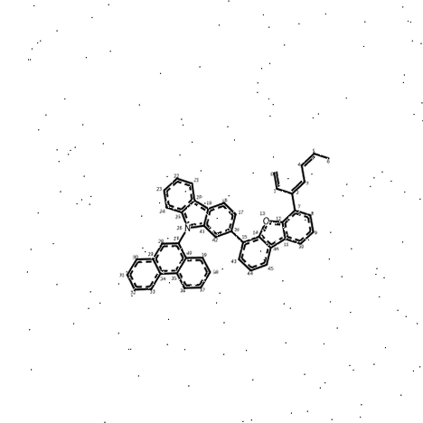 C=C/C(=C\C=C/C)c1cccc2c1oc1c(-c3ccc4c5ccccc5n(-c5cc6ccccc6c6ccccc56)c4c3)cccc12